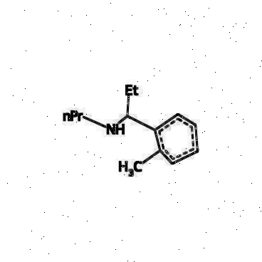 CCCNC(CC)c1ccccc1C